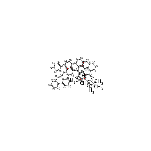 CC(C)(C)c1cc(-c2cccc3cccc(C4=CC=CCC4N(c4cccc(-c5cccc6c5ccc5ccccc56)c4)c4ccccc4-c4ccc(-c5ccccc5)cc4)c23)cc(C(C)(C)C)c1